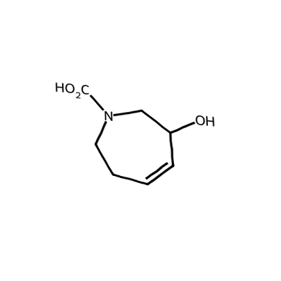 O=C(O)N1CCC=CC(O)C1